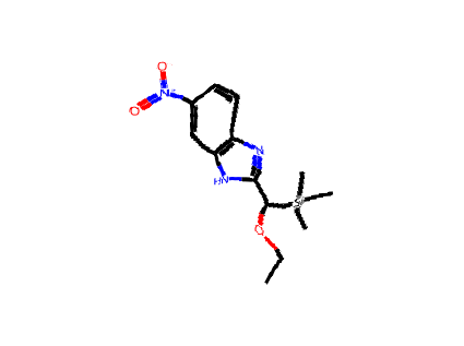 CCOC(c1nc2ccc([N+](=O)[O-])cc2[nH]1)[Si](C)(C)C